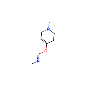 CN=COC1=CCN(C)CC1